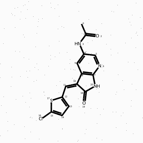 CC(=O)Nc1cnc2c(c1)C(=Cc1ccc(Cl)s1)C(=O)N2